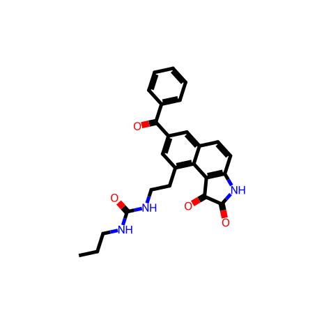 CCCNC(=O)NCCc1cc(C(=O)c2ccccc2)cc2ccc3c(c12)C(=O)C(=O)N3